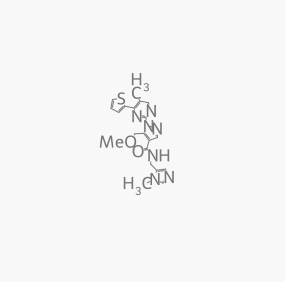 COCc1c(C(=O)NCc2cncn2C)cnn1-c1ncc(C)c(-c2cccs2)n1